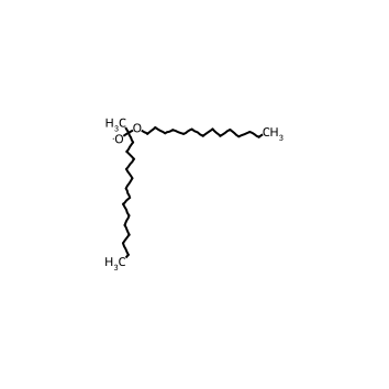 CCCCCCCCCCCCCCOC(C)([O])CCCCCCCCCCCCCC